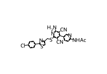 CC(=O)Nc1ccc(-c2c(C#N)c(N)nc(SCc3csc(-c4ccc(Cl)cc4)n3)c2C#N)cn1